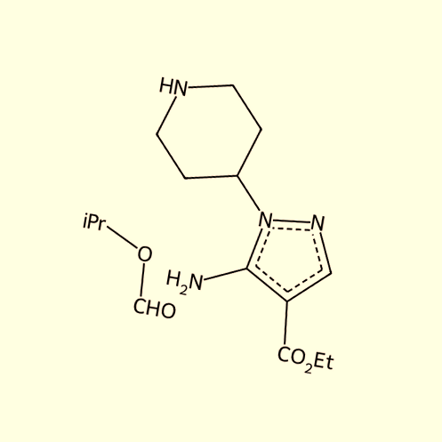 CC(C)OC=O.CCOC(=O)c1cnn(C2CCNCC2)c1N